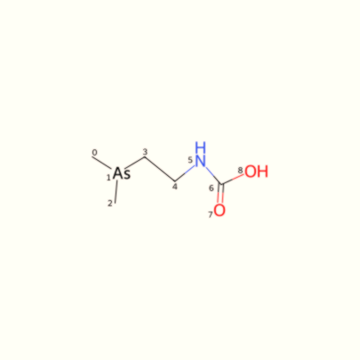 C[As](C)CCNC(=O)O